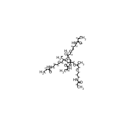 C=CC(=O)NCCCOCC(C)OCC(COC(C)COCCCNC(=O)C=C)(COC(C)COCCCNC(=O)C=C)NC(=O)C=C